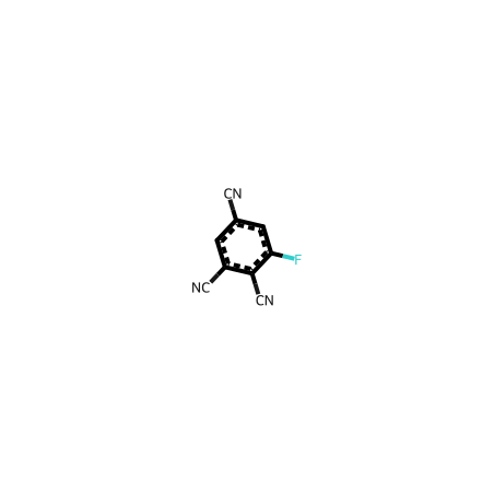 N#Cc1cc(F)c(C#N)c(C#N)c1